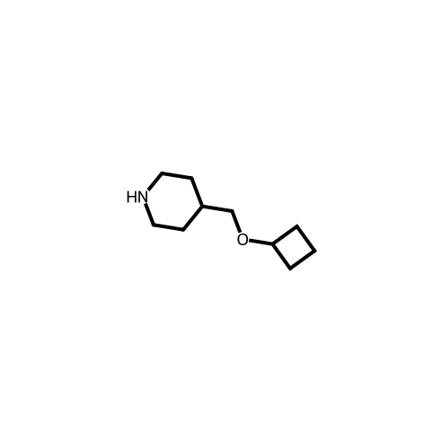 C1CC(OCC2CCNCC2)C1